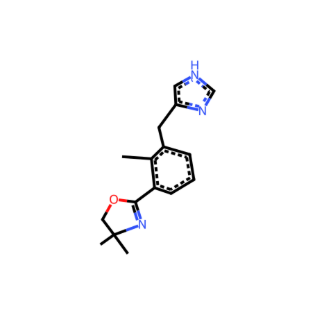 Cc1c(Cc2c[nH]cn2)cccc1C1=NC(C)(C)CO1